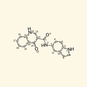 O=C(Nc1ccc2[nH]ccc2c1)c1c[nH]c2ccccc2c1=O